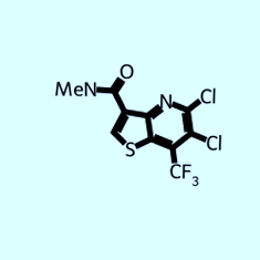 CNC(=O)c1csc2c(C(F)(F)F)c(Cl)c(Cl)nc12